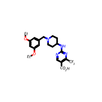 CCOc1cc(CN2CCC(Nc3ncc(C(=O)O)c(C(F)(F)F)n3)CC2)cc(OCC)c1